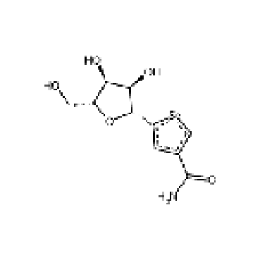 NC(=O)c1c[se]c([C@@H]2O[C@H](CO)[C@@H](O)[C@H]2O)c1